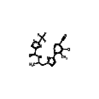 Cc1c(-c2ccn(CC(C)NC(=O)c3csc(C(F)(F)F)n3)n2)ccc(C#N)c1Cl